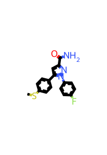 CSc1ccc(-c2cc(C(N)=O)nn2-c2ccc(F)cc2)cc1